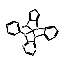 [O-][S+]1C2=CCC=C2[S+]([O-])C12N(c1ccccc1)c1nccnc1N2c1ccccc1